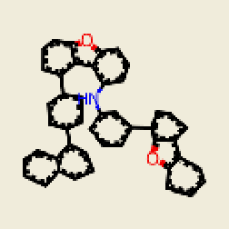 c1cc(Nc2cccc3oc4cccc(-c5ccc(-c6cccc7ccccc67)cc5)c4c23)cc(-c2cccc3c2oc2ccccc23)c1